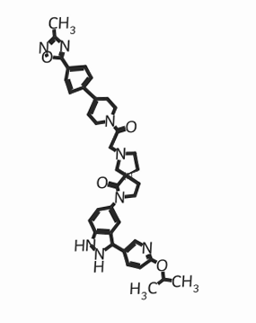 Cc1noc(-c2ccc(C3=CCN(C(=O)CN4CC[C@]5(CCN(c6ccc7c(c6)C(c6ccc(OC(C)C)nc6)NN7)C5=O)C4)CC3)cc2)n1